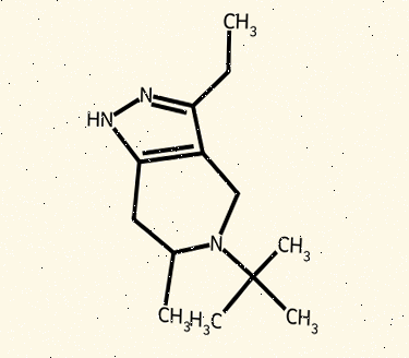 CCc1n[nH]c2c1CN(C(C)(C)C)C(C)C2